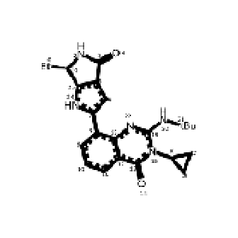 CC[C@H]1NC(=O)c2cc(-c3cccc4c(=O)n(C5CC5)c(NC(C)(C)C)nc34)[nH]c21